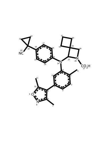 Cc1ccc(-c2c(C)noc2C)cc1N(c1ccc(C2(C#N)CC2)cc1)C1N(C(=O)O)CC12CCC2